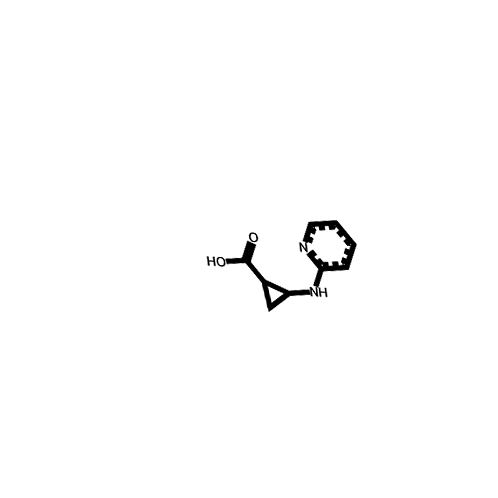 O=C(O)C1CC1Nc1ccccn1